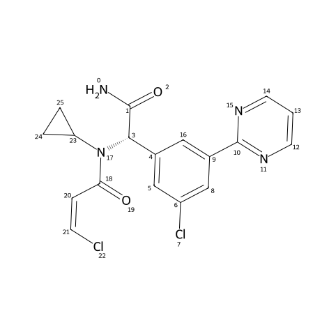 NC(=O)[C@H](c1cc(Cl)cc(-c2ncccn2)c1)N(C(=O)/C=C\Cl)C1CC1